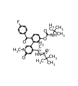 C[C@H](N[S@@+]([O-])C(C)(C)C)c1cc(=O)n(C)cc1-c1cc(OC(=O)NC(C)(C)C)ccc1C(=O)c1ccc(F)cc1